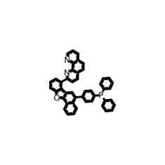 c1ccc(P(c2ccccc2)c2ccc(-c3cc4c(oc5cccc(-c6ccc7ccc8cccnc8c7n6)c54)c4ccccc34)cc2)cc1